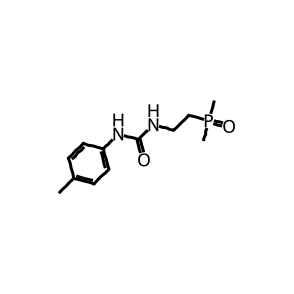 Cc1ccc(NC(=O)NCCP(C)(C)=O)cc1